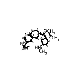 CN[C@@H]1CC[C@@](C(=O)N2CCc3ncc(C(F)(F)F)cc3C2)(C(C)C)C1